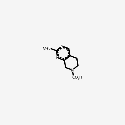 CSc1ncc2c(n1)CN(C(=O)O)CC2